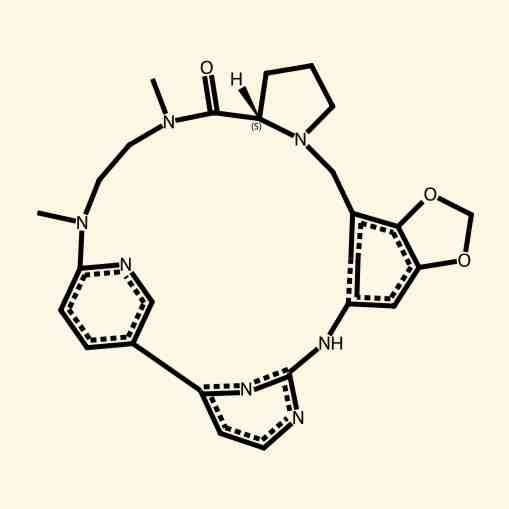 CN1CCN(C)c2ccc(cn2)-c2ccnc(n2)Nc2cc(c3c(c2)OCO3)CN2CCC[C@H]2C1=O